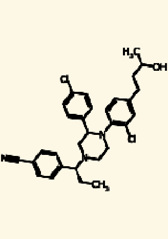 CC[C@@H](c1ccc(C#N)cc1)N1CCN(c2ccc(CC[C@@H](C)O)cc2Cl)[C@H](c2ccc(Cl)cc2)C1